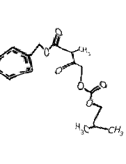 CC(C)COC(=O)OCC(=O)C(C)C(=O)OCc1ccccc1